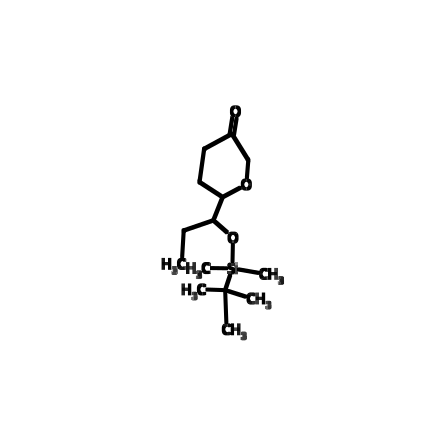 CCC(O[Si](C)(C)C(C)(C)C)C1CCC(=O)CO1